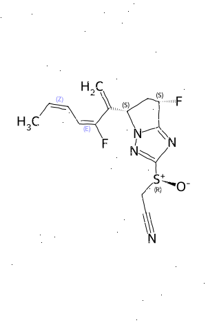 C=C(/C(F)=C\C=C/C)[C@@H]1C[C@H](F)c2nc([S@@+]([O-])CC#N)nn21